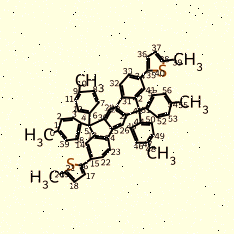 Cc1ccc(C2(c3ccc(C)cc3)c3cc(-c4ccc(C)s4)ccc3-c3cc4c(cc32)-c2ccc(-c3ccc(C)s3)cc2C4(c2ccc(C)cc2)c2ccc(C)cc2)cc1